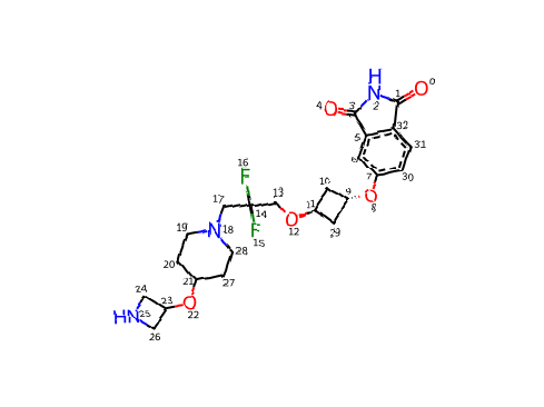 O=C1NC(=O)c2cc(O[C@H]3C[C@H](OCC(F)(F)CN4CCC(OC5CNC5)CC4)C3)ccc21